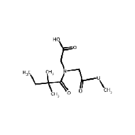 CCC(C)(C)C(=O)N(CC(=O)O)CC(=O)OC